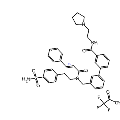 NS(=O)(=O)c1ccc(CCN(Cc2cccc(-c3cccc(C(=O)NCCN4CCCC4)c3)c2)C(=O)/C=C/c2ccccc2)cc1.O=C(O)C(F)(F)F